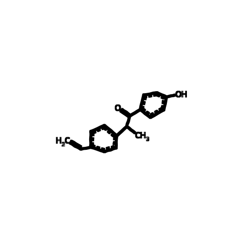 C=Cc1ccc(C(C)C(=O)c2ccc(O)cc2)cc1